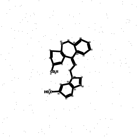 O=C(O)c1ccc2c(c1)C(=CCn1cnc3ccc(C(=O)O)cc31)c1ccccc1CO2